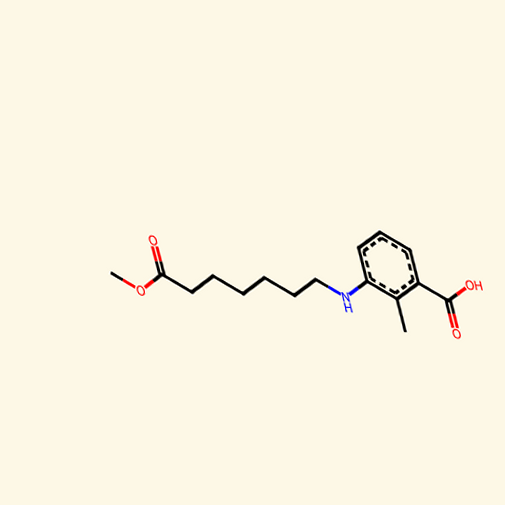 COC(=O)CCCCCCNc1cccc(C(=O)O)c1C